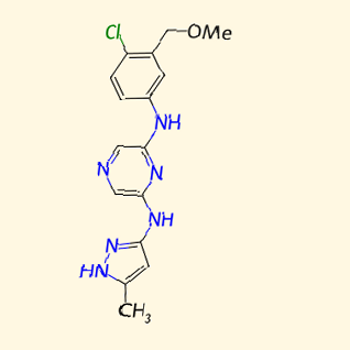 COCc1cc(Nc2cncc(Nc3cc(C)[nH]n3)n2)ccc1Cl